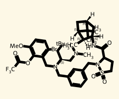 COc1ccc(Br)c(CN(Cc2cccc(CN3C(C(=O)N[C@H]4C[C@H]5C[C@@H]([C@@H]4C)C5(C)C)CCS3(=O)=O)c2)[C@H](CN(C)C)CC(C)(C)C)c1OC(=O)C(F)(F)F